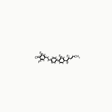 C/C=C/C(F)=C(\F)c1ccc(-c2ccc(CCc3cc(F)c(Cl)c(F)c3)nc2)c(F)c1